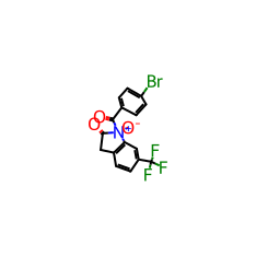 O=C1Cc2ccc(C(F)(F)F)cc2[N+]1([O-])C(=O)c1ccc(Br)cc1